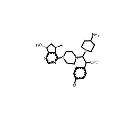 C[C@@H]1C[C@@H](O)c2ncnc(N3CCN(C(C(C=O)c4ccc(Cl)cc4)N4CCC(N)CC4)CC3)c21